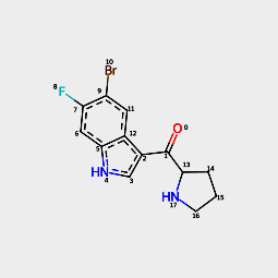 O=C(c1c[nH]c2cc(F)c(Br)cc12)C1CCCN1